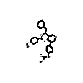 COC(=O)Nc1ccc(-c2cncc(C(Cc3ccccc3)NC(=O)[C@H]3CC[C@H](CN)CC3)c2)cc1